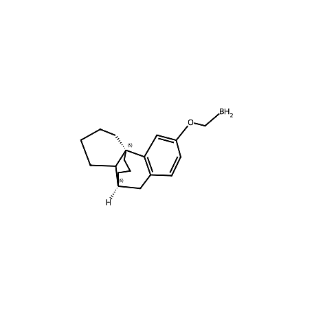 BCOc1ccc2c(c1)[C@]13CCCCC1[C@@H](CCC3)C2